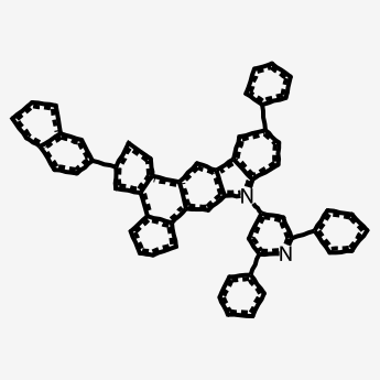 c1ccc(-c2ccc3c(c2)c2cc4c5ccc(-c6ccc7ccccc7c6)cc5c5ccccc5c4cc2n3-c2cc(-c3ccccc3)nc(-c3ccccc3)c2)cc1